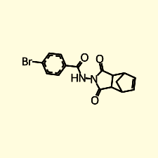 O=C(NN1C(=O)C2C3C=CC(C3)C2C1=O)c1ccc(Br)cc1